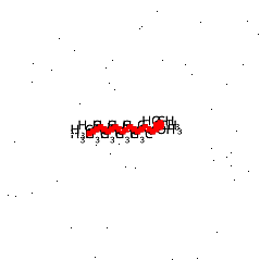 CC(C)=CCCC(C)=CCCC(C)=CCCC(C)=CCCC(C)=CCCC(C)=CCCC(C)=CCCC(C)=CCCC(C)=CCCc1cc(O)c(C)c(C)c1O